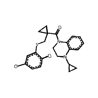 O=C(N1CCN(C2CC2)c2ccccc21)C1(CSc2cc(Cl)ccc2Cl)CC1